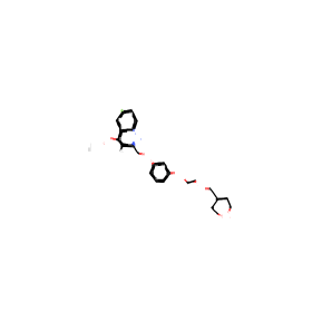 CCCCOc1c(C)c(COc2cccc(OCCOCC3CCOCC3)c2)nc2ccc(F)cc12